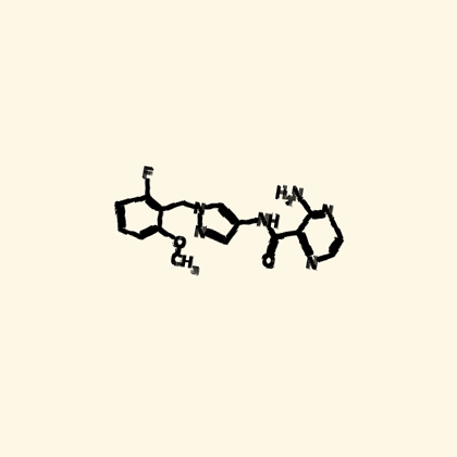 COc1cccc(F)c1Cn1cc(NC(=O)c2nccnc2N)cn1